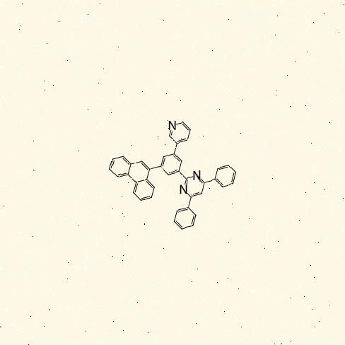 c1ccc(-c2cc(-c3ccccc3)nc(-c3cc(-c4cccnc4)cc(-c4cc5ccccc5c5ccccc45)c3)n2)cc1